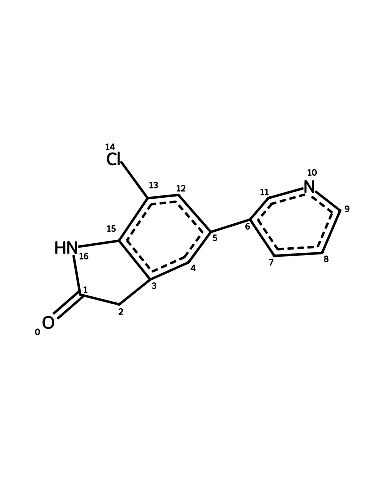 O=C1Cc2cc(-c3cccnc3)cc(Cl)c2N1